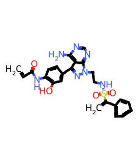 C=CC(=O)Nc1ccc(-c2nn(CCNS(=O)(=O)C(=C)c3ccccc3)c3ncnc(N)c23)cc1O